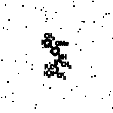 C=C(/N=C(\C=C(/N)C(F)(F)F)C(F)(F)F)Nc1ccc(-n2cnc(C)c2)c(OC)c1